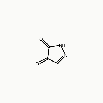 O=C1C=NNC1=O